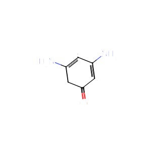 NC1=CC(=O)CC(N)=C1